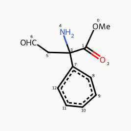 COC(=O)C(N)(CC=O)c1ccccc1